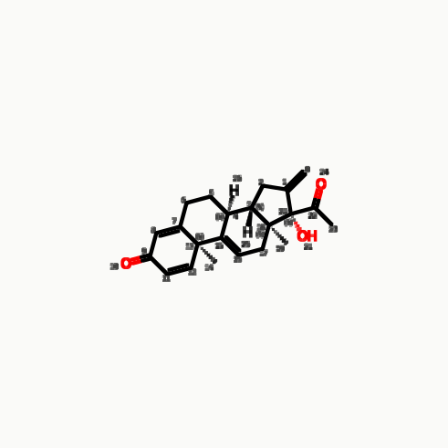 C=C1C[C@H]2[C@@H]3CCC4=CC(=O)C=C[C@]4(C)C3=CC[C@]2(C)[C@]1(O)C(C)=O